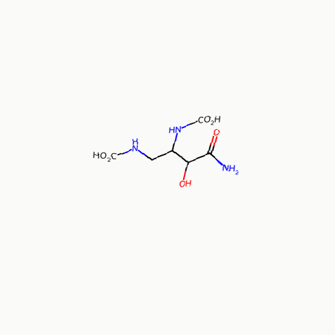 NC(=O)C(O)C(CNC(=O)O)NC(=O)O